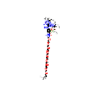 CCCOCCOCCOCCOCCOCCOCCOCCOCCOCCNC(=O)c1ccc(Nc2nc(N[C@H](CO)C(C)C)nc(NC(C)C)c2NI)cc1Cl